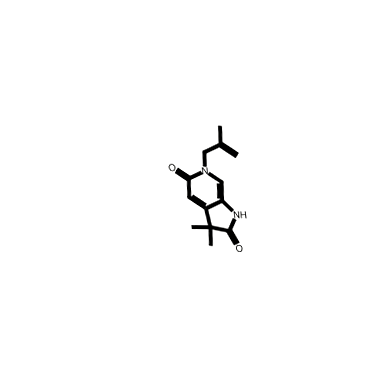 C=C(C)Cn1cc2c(cc1=O)C(C)(C)C(=O)N2